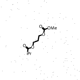 COC(=O)OCCCOC(=O)C(C)C